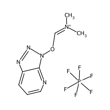 C[N+](C)=COn1nnc2cccnc21.F[P-](F)(F)(F)(F)F